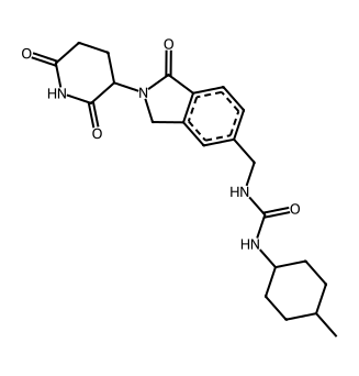 CC1CCC(NC(=O)NCc2ccc3c(c2)CN(C2CCC(=O)NC2=O)C3=O)CC1